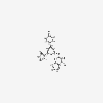 Cc1nnnn1-c1cc(OC(=O)NC(C)c2cnccn2)cc(-c2ccc(Cl)cc2)c1